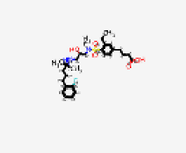 CCc1cc(CCCC(=O)O)ccc1S(=O)(=O)N(C)C[C@H](O)CNC(C)(C)CCCc1ccccc1F